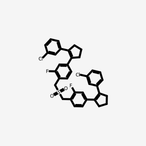 O=S(=O)(Cc1ccc(C2=C(c3cccc(Cl)c3)CCC2)cc1F)Cc1ccc(C2=C(c3cccc(Cl)c3)CCC2)cc1F